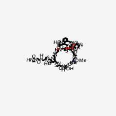 CO/C(C)=C1/NOC[C@H]([C@@H](C)O)NC(O)c2csc(n2)-c2cc(O)c(-c3nc(CNC(=O)CN4CCNC4=O)cs3)nc2-c2csc(n2)[C@@H]2COC(=O)c3c4c5c(cccc5n3O)COC(=O)[C@@H](O[C@H]3C[C@](C)(O)[C@H](N(C)C)[C@H](C)O3)[C@@H](OC4)[C@H](NC(=O)c3csc1n3)c1nc(cs1)C(=O)N2